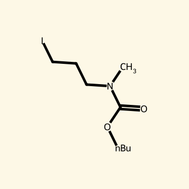 CCCCOC(=O)N(C)CCCI